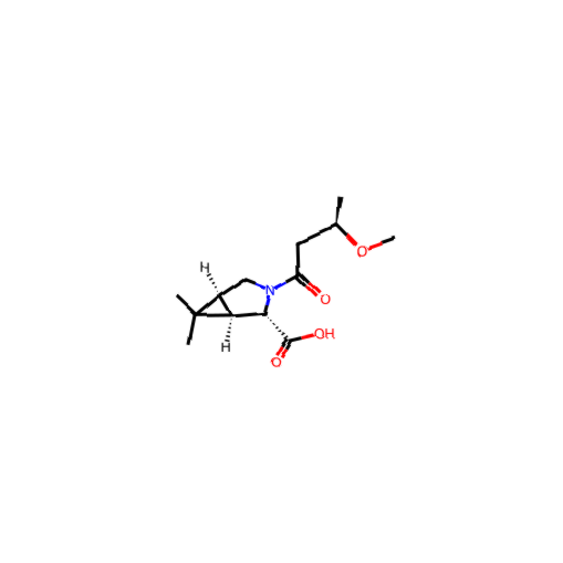 CO[C@H](C)CC(=O)N1C[C@H]2[C@@H]([C@H]1C(=O)O)C2(C)C